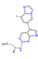 COC[C@H](C)Nc1ncc2c(-c3cc(F)c4nccn4c3)c[nH]c2n1